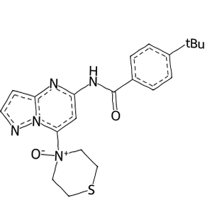 CC(C)(C)c1ccc(C(=O)Nc2cc([N+]3([O-])CCSCC3)n3nccc3n2)cc1